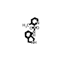 Cc1cccnc1S(=O)(=O)Nc1cccc2c1CNC2